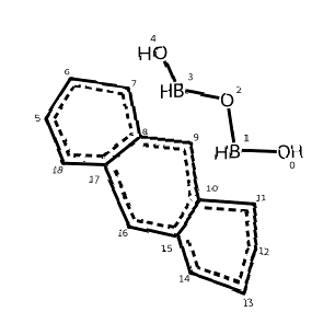 OBOBO.c1ccc2cc3ccccc3cc2c1